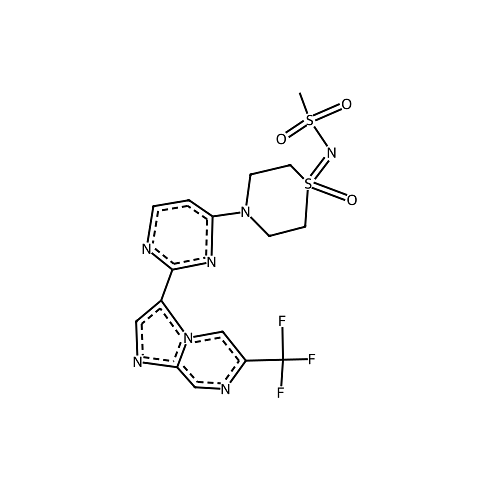 CS(=O)(=O)N=S1(=O)CCN(c2ccnc(-c3cnc4cnc(C(F)(F)F)cn34)n2)CC1